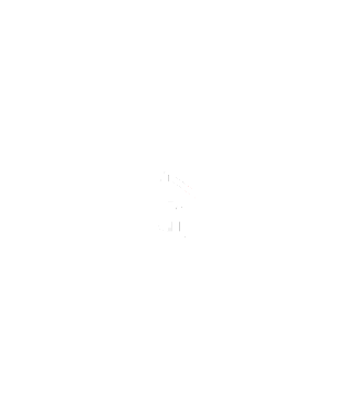 [BaH2].[Fe].[O]=[Zr]